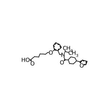 CC(C)N(Cc1ccccc1OCCCCCC(=O)O)C(=O)C1CCC(c2ccco2)CC1